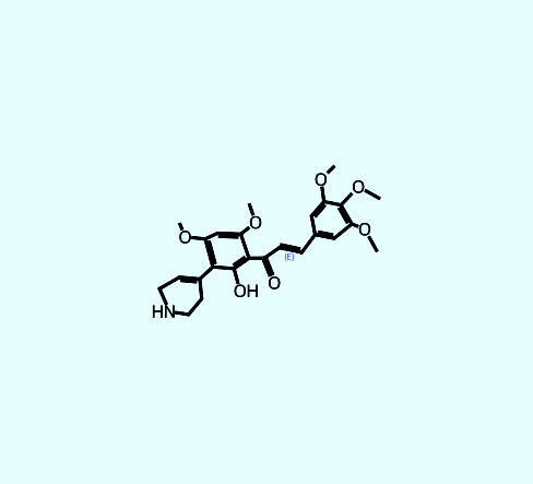 COc1cc(/C=C/C(=O)c2c(OC)cc(OC)c(C3=CCNCC3)c2O)cc(OC)c1OC